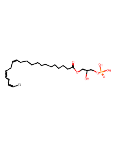 CC/C=C\C/C=C\C/C=C\CCCCCCCCCCCC(=O)OCC(O)COP(=O)(O)O